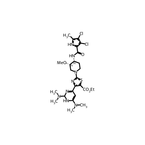 CCOC(=O)c1sc(N2CC[C@@H](NC(=O)c3[nH]c(C)c(Cl)c3Cl)[C@@H](OC)C2)nc1C1=NC(N(C)C)NC(N(C)C)=C1